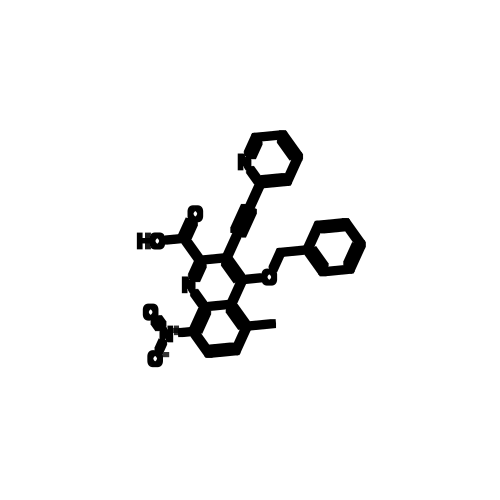 Cc1ccc([N+](=O)[O-])c2nc(C(=O)O)c(C#Cc3ccccn3)c(OCc3ccccc3)c12